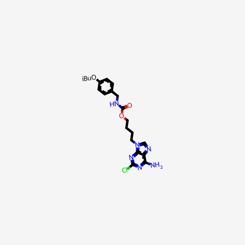 CC(C)COc1ccc(CNC(=O)OCCCCn2cnc3c(N)nc(Cl)nc32)cc1